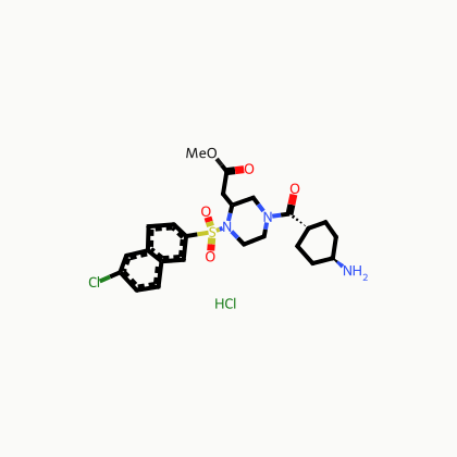 COC(=O)CC1CN(C(=O)[C@H]2CC[C@H](N)CC2)CCN1S(=O)(=O)c1ccc2cc(Cl)ccc2c1.Cl